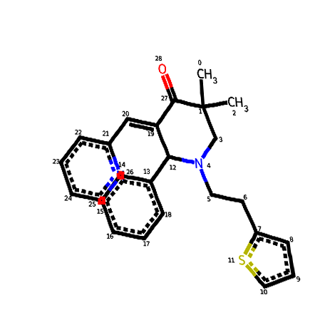 CC1(C)CN(CCc2cccs2)C(c2ccccc2)/C(=C\c2ccccn2)C1=O